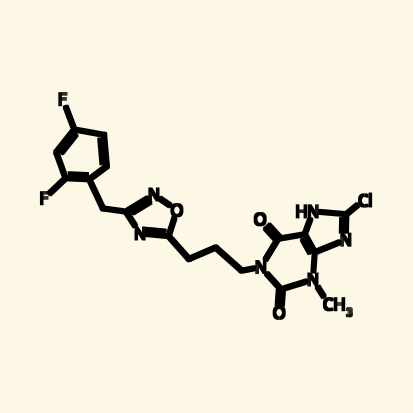 Cn1c(=O)n(CCCc2nc(Cc3ccc(F)cc3F)no2)c(=O)c2[nH]c(Cl)nc21